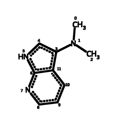 CN(C)c1c[nH]c2ncccc12